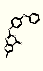 Cc1cc2c(=O)oc(Sc3ccc(Oc4ccccc4)cc3)nc2s1